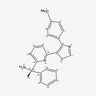 COc1ccc(-c2ncsc2-c2ccnc([C@@](C)(N)c3ccccc3)n2)cc1